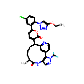 CCOc1cn(-c2ccc(Cl)cc2-c2ccc(C3CCCC(C)C(=O)Nc4cnn(C(F)F)c4-c4ccnc3c4)c(=O)o2)nn1